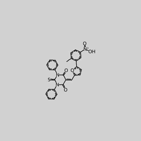 Cc1ccc([N+](=O)O)cc1-c1ccc(C=C2C(=O)N(c3ccccc3)C(=S)N(c3ccccc3)C2=O)o1